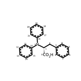 O=C(O)[C@@H](Cc1ccccc1)N(c1ccccc1)c1ccccc1